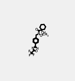 CON(Cc1ccc(-c2noc(C(F)(F)F)n2)cc1)C(=O)C1(C)CCCCC1